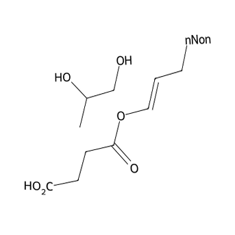 CC(O)CO.CCCCCCCCCCC=COC(=O)CCC(=O)O